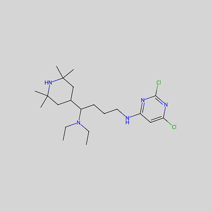 CCN(CC)C(CCCNc1cc(Cl)nc(Cl)n1)C1CC(C)(C)NC(C)(C)C1